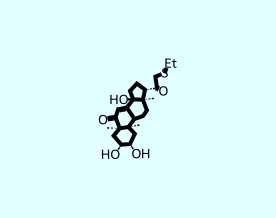 CCSCC(=O)[C@H]1CC[C@@]2(O)C3=CC(=O)[C@]4(C)C[C@@H](O)[C@@H](O)C[C@]4(C)C3CC[C@]12C